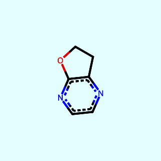 c1cnc2c(n1)CCO2